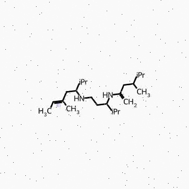 C=C(CC(C)C(C)C)NC(CCNC(C/C(C)=C/C)C(C)C)C(C)C